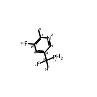 Cc1ncc(C(F)(F)P)cc1F